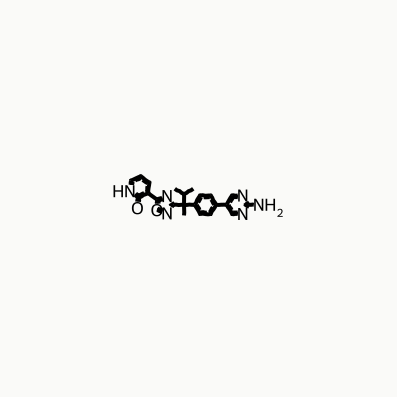 CC(C)C(C)(c1ccc(-c2cnc(N)nc2)cc1)c1noc(-c2ccc[nH]c2=O)n1